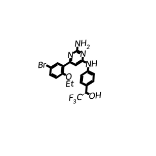 CCOc1ccc(Br)cc1-c1cc(Nc2ccc([C@H](O)C(F)(F)F)cc2)nc(N)n1